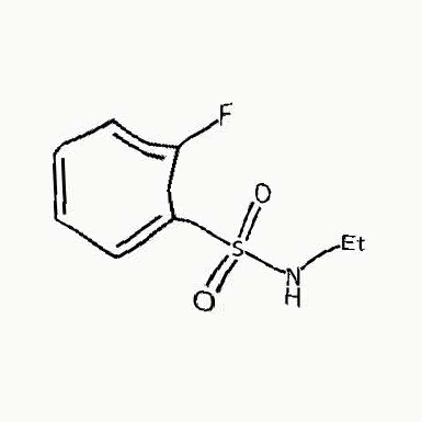 CCNS(=O)(=O)c1ccccc1F